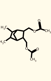 CC(=O)OCC1C2CC(C(C)C2C)C1COC(C)=O